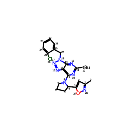 Cc1cc(C2CCCN2c2nc(C(C)(C)C)nc3c2nnn3Cc2ccccc2Cl)on1